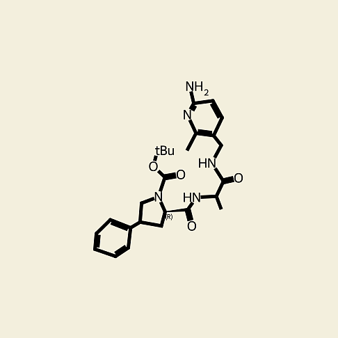 Cc1nc(N)ccc1CNC(=O)C(C)NC(=O)[C@H]1CC(c2ccccc2)CN1C(=O)OC(C)(C)C